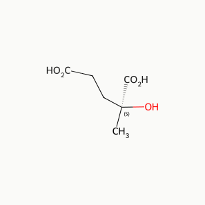 C[C@](O)(CCC(=O)O)C(=O)O